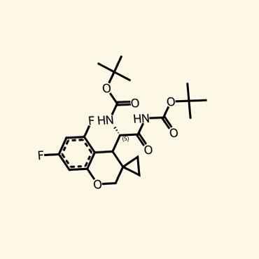 CC(C)(C)OC(=O)NC(=O)[C@@H](NC(=O)OC(C)(C)C)C1c2c(F)cc(F)cc2OCC12CC2